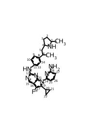 CC1CCC(CC(C)c2ccc(Nc3ncc4c(F)c(C5CC5)n(-c5cccc(N)n5)c4n3)cc2)N1